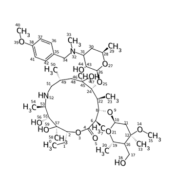 CC[C@H]1OC(=O)[C@H](C)[C@@H](O[C@H]2C[C@@](C)(OC)C(CO)[C@H](C)O2)[C@H](C)[C@@H](O[C@@H]2O[C@H](C)CC(N(C)Cc3ccc(OC)cc3)[C@H]2O)[C@](C)(O)C[C@@H](C)CN[C@H](C)[C@@H](O)[C@]1(C)O